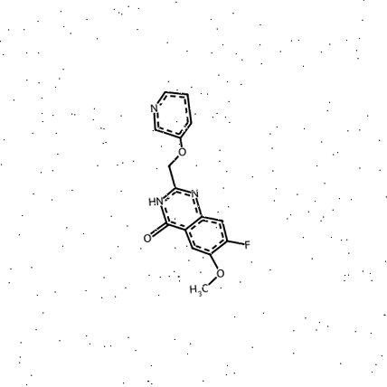 COc1cc2c(=O)[nH]c(COc3cccnc3)nc2cc1F